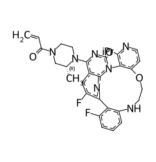 C=CC(=O)N1CCN(c2nc(=O)n3c4nc(c(F)cc24)-c2c(F)cccc2NCCOc2ccnc(C(C)C)c2-3)[C@H](C)C1